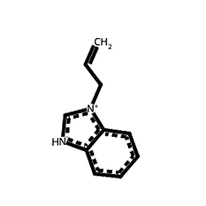 C=CC[n+]1c[nH]c2ccccc21